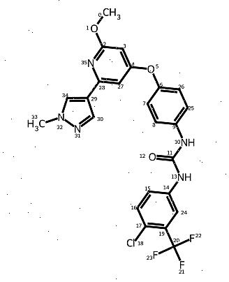 COc1cc(Oc2ccc(NC(=O)Nc3ccc(Cl)c(C(F)(F)F)c3)cc2)cc(-c2cnn(C)c2)n1